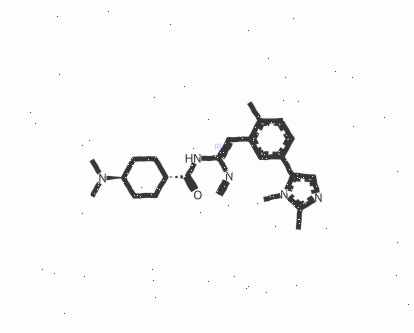 C=N/C(=C\c1cc(-c2cnc(C)n2C)ccc1C)NC(=O)[C@H]1CC[C@H](N(C)C)CC1